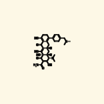 CN(C)Cc1ccc(-c2ccc(O)c3c2C[C@@H]2C[C@@H]4C(N(C)C)C(O)=C(C(N)=O)C(=O)[C@@]4(O)C(O)=C2C3=O)cc1